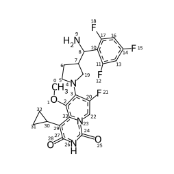 COc1c(N2CCC(C(N)c3c(F)cc(F)cc3F)C2)c(F)cn2c(=O)[nH]c(=O)c(C3CC3)c12